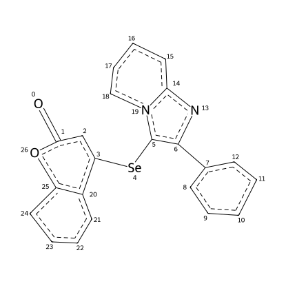 O=c1cc([Se]c2c(-c3ccccc3)nc3ccccn23)c2ccccc2o1